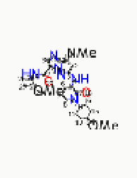 CNc1cc(Nc2cccn([C@H]3CC[C@H](OC)CC3)c2=O)nn2c(C(=O)N[C@@H]3CC[C@H]3OC)cnc12